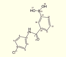 O=C(Nc1ccc(Cl)cc1)c1cccc(B(O)O)c1